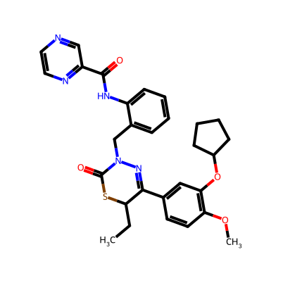 CCC1SC(=O)N(Cc2ccccc2NC(=O)c2cnccn2)N=C1c1ccc(OC)c(OC2CCCC2)c1